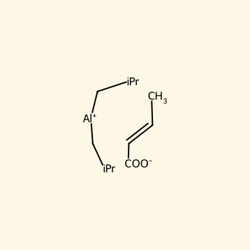 CC(C)[CH2][Al+][CH2]C(C)C.CC=CC(=O)[O-]